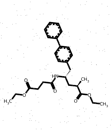 CCOC(=O)CCC(=O)N[C@H](Cc1ccc(-c2ccccc2)cc1)C[C@@H](C)C(=O)OCC